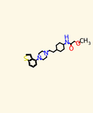 COCC(=O)NC1CCC(CCN2CCN(c3cccc4sccc34)CC2)CC1